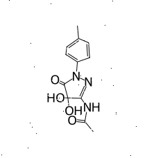 CC(=O)NC1=NN(c2ccc(C)cc2)C(=O)C1(O)O